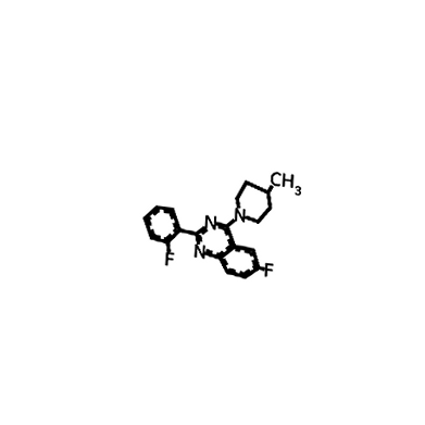 CC1CCN(c2nc(-c3ccccc3F)nc3ccc(F)cc23)CC1